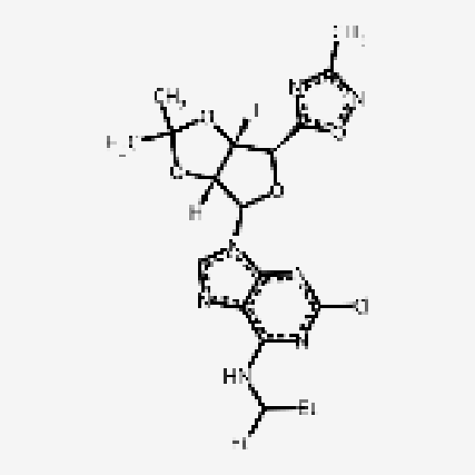 CCC(CC)Nc1nc(Cl)nc2c1ncn2[C@@H]1O[C@H](c2nc(C)no2)[C@H]2OC(C)(C)O[C@H]21